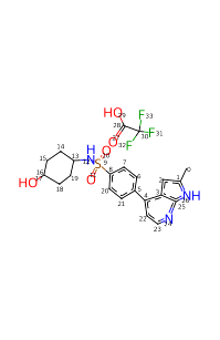 Cc1cc2c(-c3ccc(S(=O)(=O)NC4CCC(O)CC4)cc3)ccnc2[nH]1.O=C(O)C(F)(F)F